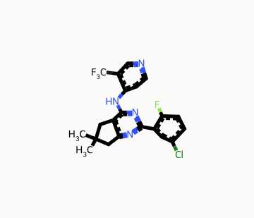 CC1(C)Cc2nc(-c3cc(Cl)ccc3F)nc(Nc3ccncc3C(F)(F)F)c2C1